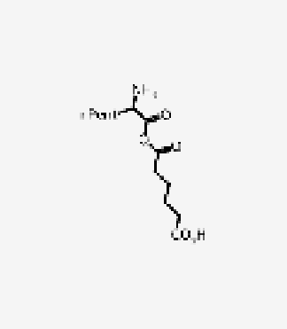 CCCCCC(N)C(=O)OC(=O)CCCCC(=O)O